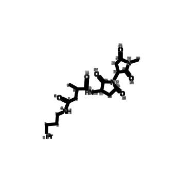 CC(C)CCCNC(=O)CC(C)C(=O)NC1CC(=O)N(C2CC(=O)N(C)C2=O)C1=O